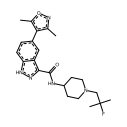 Cc1noc(C)c1-c1ccc2[nH]nc(C(=O)NC3CCN(CC(C)(C)F)CC3)c2c1